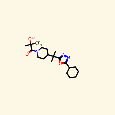 CC(C)(c1nnc(C2CCCCC2)o1)C1CCN(C(=O)C(C)(O)C(F)(F)F)CC1